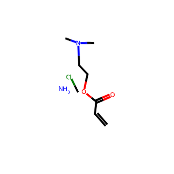 C=CC(=O)OCCN(C)C.CCl.N